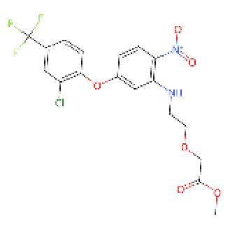 COC(=O)COCCNc1cc(Oc2ccc(C(F)(F)F)cc2Cl)ccc1[N+](=O)[O-]